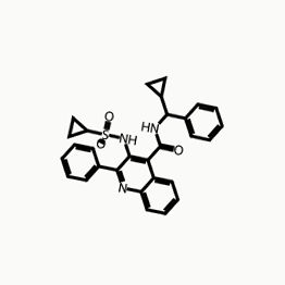 O=C(NC(c1ccccc1)C1CC1)c1c(NS(=O)(=O)C2CC2)c(-c2ccccc2)nc2ccccc12